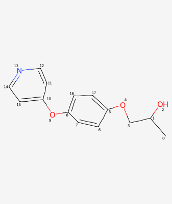 CC(O)COc1ccc(Oc2ccncc2)cc1